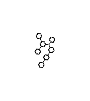 c1ccc(-c2ccc(-c3cccc(N(c4ccccc4)c4cc(-c5ccccc5)cc(-c5ccccc5)c4)c3)cc2)cc1